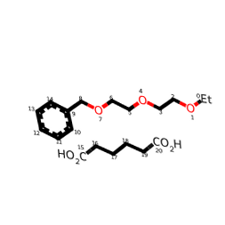 CCOCCOCCOCc1ccccc1.O=C(O)CCCCC(=O)O